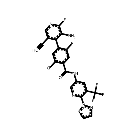 C#Cc1cnc(F)c(N)c1-c1cc(Cl)c(C(=O)Nc2cnc(-n3nccn3)c(C(F)(F)F)c2)cc1F